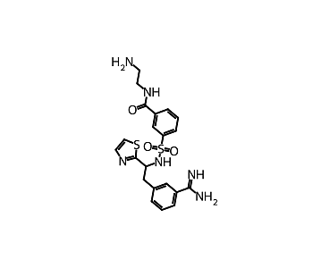 N=C(N)c1cccc(CC(NS(=O)(=O)c2cccc(C(=O)NCCN)c2)c2nccs2)c1